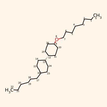 CCCCCCCCO[C@H]1CC[C@H](C2CCC(CCCCCC)CC2)CC1